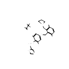 O=C(O)C(F)(F)F.O=S(=O)(Nc1cscn1)c1c(F)cc(NCc2c(Cl)ccc(F)c2CN2CCC2)cc1F